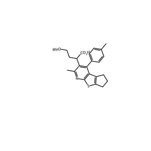 COCCC(C(=O)O)c1c(C)nc2sc3c(c2c1-c1ccc(C)cc1)CCC3